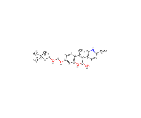 COc1ccc(C2=C(C)c3ccc(OCOCC[Si](C)(C)C)cc3OC2O)cn1